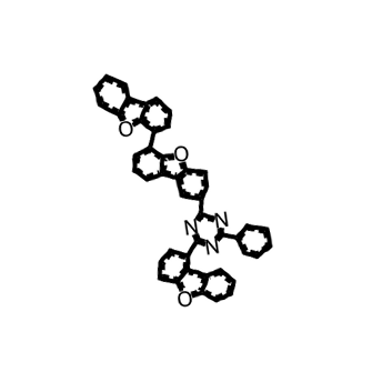 c1ccc(-c2nc(-c3ccc4oc5c(-c6cccc7c6oc6ccccc67)cccc5c4c3)nc(-c3cccc4oc5ccccc5c34)n2)cc1